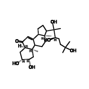 CC(C)(O)CC[C@@H](O)C(C)(O)C1CCC2C3=CC(=O)[C@@H]4C[C@@H](O)[C@@H](O)C[C@]4(C)C3CC[C@@]21C